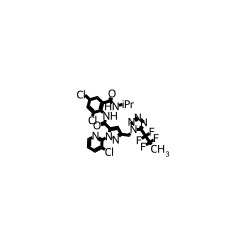 CC(C)NC(=O)C1=C(NC(=O)c2cc(Cn3nnnc3C(F)(F)C(C)(F)F)nn2-c2ncccc2Cl)C(Cl)=CC(Cl)C1